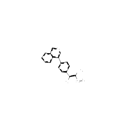 N#C/C(NN)=C(/N)c1ccc(-c2cncc3ccccc23)cc1